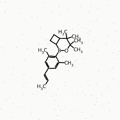 C/C=C/c1cc(C)c(B2OC(C)(C)C(C)(C)C3CCC23)c(C)c1